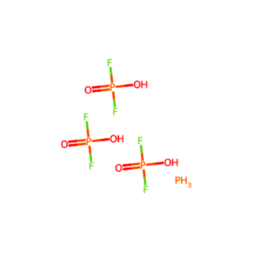 O=P(O)(F)F.O=P(O)(F)F.O=P(O)(F)F.P